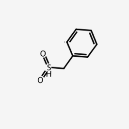 O=[SH](=O)Cc1[c]cccc1